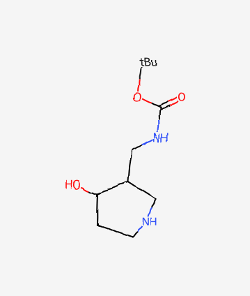 CC(C)(C)OC(=O)NCC1CNCCC1O